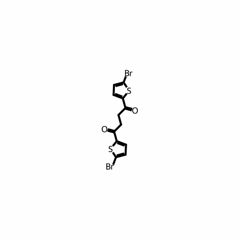 O=C(CCC(=O)c1ccc(Br)s1)c1ccc(Br)s1